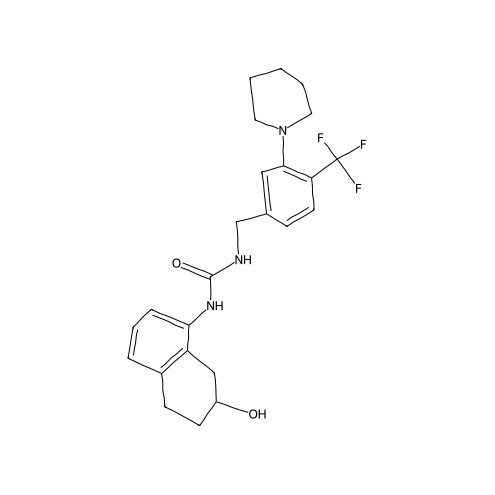 O=C(NCc1ccc(C(F)(F)F)c(N2CCCCC2)c1)Nc1cccc2c1CC(O)CC2